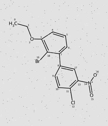 CCOc1[c]ccc(-c2ccc(Cl)c([N+](=O)[O-])c2)c1Br